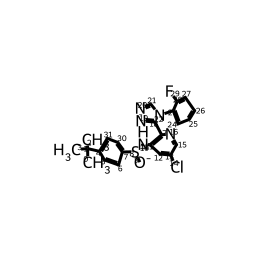 CC(C)(C)c1ccc([S+]([O-])Nc2cc(Cl)cnc2-c2nncn2-c2ccccc2F)cc1